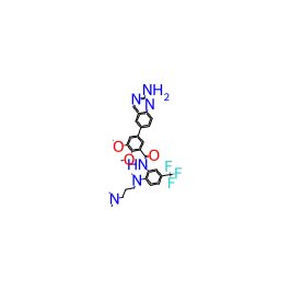 COc1cc(-c2ccc3nc(N)ncc3c2)cc(C(=O)Nc2cc(C(F)(F)F)ccc2N(C)CCCN(C)C)c1OC